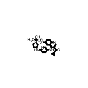 CC(C)(C)N1CCC(Nc2ccc(Nc3c(C(=O)C4CC4)cnc4ccc(Br)cc34)cn2)C1